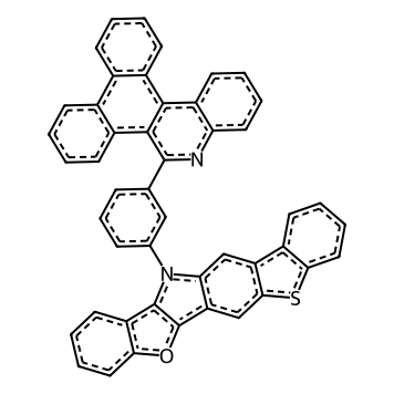 c1cc(-c2nc3ccccc3c3c4ccccc4c4ccccc4c23)cc(-n2c3cc4c(cc3c3oc5ccccc5c32)sc2ccccc24)c1